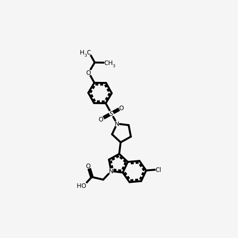 CC(C)Oc1ccc(S(=O)(=O)N2CCC(c3cn(CC(=O)O)c4ccc(Cl)cc34)C2)cc1